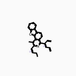 C=C/C=C(\C=C)c1nc(/C=C\CC)c(C)c2c1ccc1c3ccccc3oc12